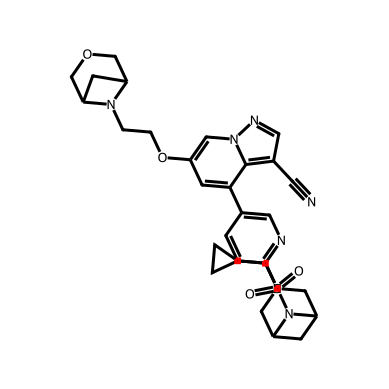 N#Cc1cnn2cc(OCCN3C4COCC3C4)cc(-c3ccc(N4CC5CC(C4)N5S(=O)(=O)CC4CC4)nc3)c12